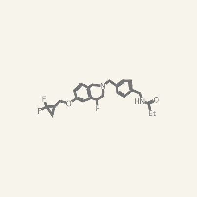 CCC(=O)NCc1ccc(CN2Cc3ccc(OCC4CC4(F)F)cc3C(F)C2)cc1